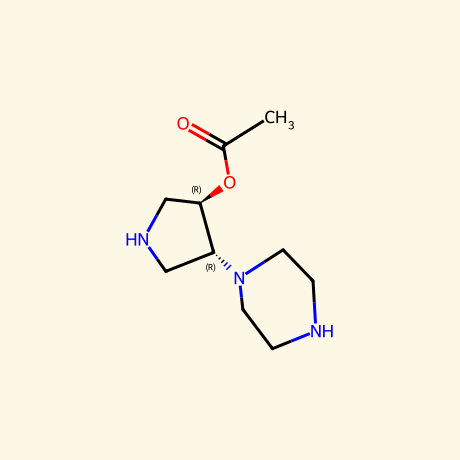 CC(=O)O[C@@H]1CNC[C@H]1N1CCNCC1